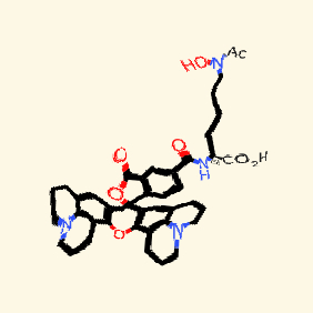 CC(=O)N(O)CCCC[C@H](NC(=O)c1ccc2c(c1)C(=O)OC21c2cc3c4c(c2Oc2c1cc1c5c2CCCN5CCC1)CCCN4CCC3)C(=O)O